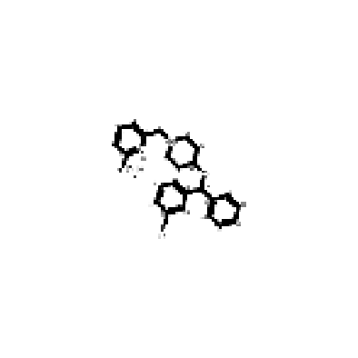 O=C(O)c1cccc(CN2CCC(OC(c3ccccc3)c3cccc(F)c3)CC2)n1